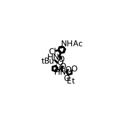 CCO[C@H]1CC(=O)O[C@H]1NC(=O)N1CCC[C@@H]1C(=O)[C@@H](NC(=O)c1ccc(NC(C)=O)cc1Cl)C(C)(C)C